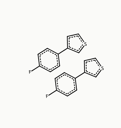 Fc1ccc(-c2ccsc2)cc1.Fc1ccc(-c2ccsc2)cc1